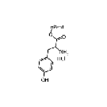 CCCCCOC(=O)C(N)Cc1ccc(O)cc1.Cl